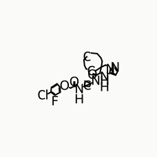 O=C(COc1ccc(Cl)c(F)c1)NC12CC(NC(=O)C3Nc4ccnn4CC34CCCCCCCCCC4)(C1)C2